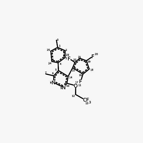 Cc1ccc(-c2c(C)nnc(OCC(F)(F)F)c2-c2c(F)cc(F)cc2F)cc1